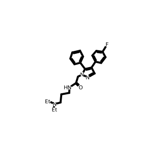 CCN(CC)CCCNC(=O)Cn1ncc(-c2ccc(F)cc2)c1-c1ccccc1